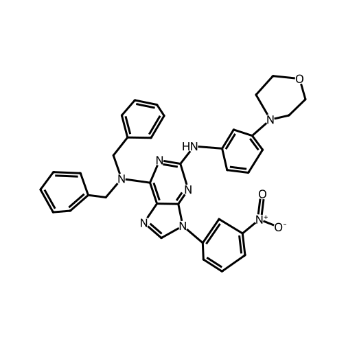 O=[N+]([O-])c1cccc(-n2cnc3c(N(Cc4ccccc4)Cc4ccccc4)nc(Nc4cccc(N5CCOCC5)c4)nc32)c1